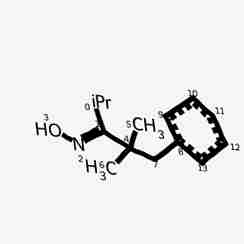 CC(C)C(=NO)C(C)(C)Cc1ccccc1